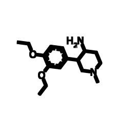 CCOc1ccc(C2CN(C)CCC2N)cc1OCC